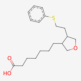 O=C(O)CCCCCCC1COCC1CCSc1ccccc1